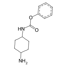 NC1CCC(NC(=O)Oc2ccccc2)CC1